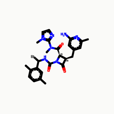 CCC(NC(=O)N1C(=O)[C@H](Cc2cc(C)nc(N)c2)[C@H]1C(=O)N(C)c1nccn1C)c1cc(C)ccc1C